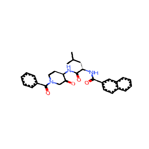 CC(C)C[C@H](NC(=O)c1ccc2ccccc2c1)C(=O)NC1CCN(C(=O)c2ccccc2)CC1=O